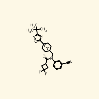 CC(C)(C)c1noc(C23CCC(CN(C(=O)C4CC(F)(F)C4)c4cccc(C#N)c4)(CC2)CC3)n1